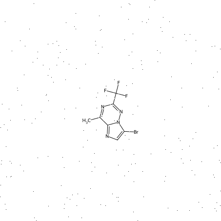 Cc1nc(C(F)(F)F)nn2c(Br)cnc12